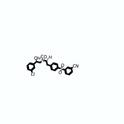 N#Cc1cccc(S(=O)(=O)c2ccc(CCN(C[C@H](O)c3cccc(Cl)c3)C(=O)O)cc2)c1